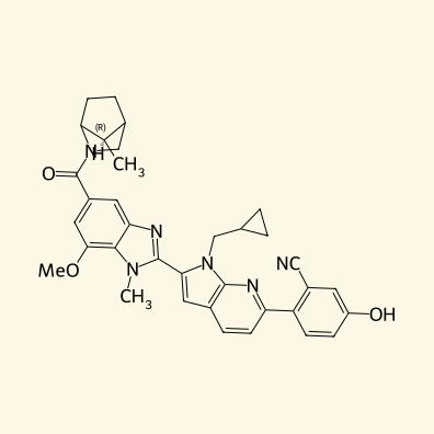 COc1cc(C(=O)N2CC3CCC2[C@@H]3C)cc2nc(-c3cc4ccc(-c5ccc(O)cc5C#N)nc4n3CC3CC3)n(C)c12